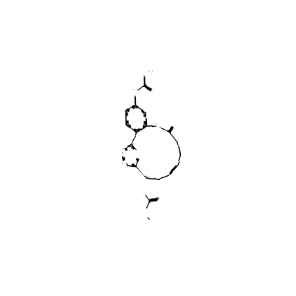 COC(=O)Nc1ccc2c(c1)NC(=O)CCC=CC[C@H](NC(=O)OC(C)(C)C)c1nnc-2o1